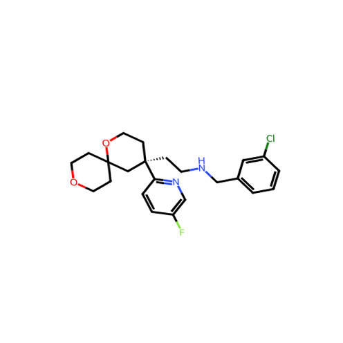 Fc1ccc([C@]2(CCNCc3cccc(Cl)c3)CCOC3(CCOCC3)C2)nc1